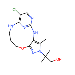 Cc1c2c(nn1C(C)(C)CO)OCCCNc1nc(ncc1Cl)N2